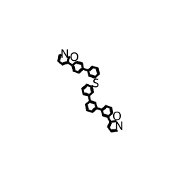 c1cc(Sc2cccc(-c3ccc4c(c3)oc3ncccc34)c2)cc(-c2cccc(-c3ccc4oc5ncccc5c4c3)c2)c1